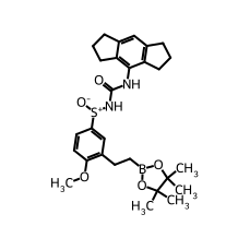 COc1ccc([S+]([O-])NC(=O)Nc2c3c(cc4c2CCC4)CCC3)cc1CCB1OC(C)(C)C(C)(C)O1